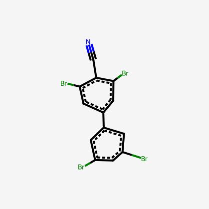 N#Cc1c(Br)cc(-c2cc(Br)cc(Br)c2)cc1Br